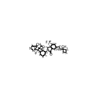 Cn1cnnc1[C@](F)(c1cccc(N2Cc3c(cc(CNC4(C)CCC4)cc3C(F)(F)F)C2=O)c1)C1(F)COC1